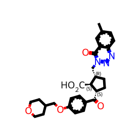 Cc1ccc2nnn(C[C@@H]3CC[C@H](C(=O)c4ccc(OCC5CCOCC5)cc4)[C@H]3C(=O)O)c(=O)c2c1